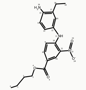 CCCCOC(=O)c1ccc(Nc2ccc(N)c(CC)c2)c([N+](=O)[O-])c1